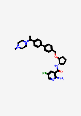 CC(c1ccc(-c2ccc(COC3CCC[C@@H]3NC(=O)c3cc(Br)cnc3N)cc2)cc1)N1CCN(C)CC1